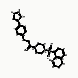 O=C(COc1ccc(-n2cnnn2)cc1)N1CCN(S(=O)(=O)C2CC=CC3=C2N=CCC3)CC1